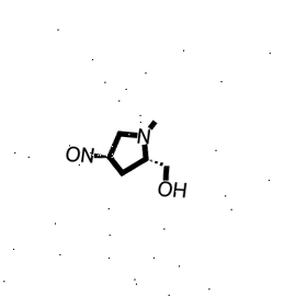 CN1C[C@H](N=O)C[C@H]1CO